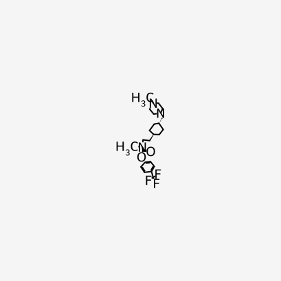 CN1CCN(C[C@H]2CC[C@H](CCN(C)C(=O)Oc3ccc(C(F)(F)F)cc3)CC2)CC1